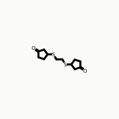 O=C1CCC(SCCSC2CCC(=O)C2)C1